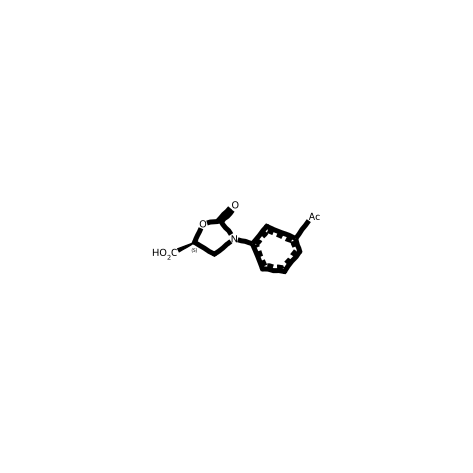 CC(=O)c1cccc(N2C[C@@H](C(=O)O)OC2=O)c1